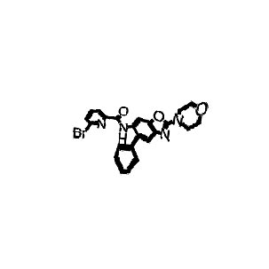 O=C(Nc1cc2oc(N3CCOCC3)nc2cc1-c1ccccc1)c1cccc(Br)n1